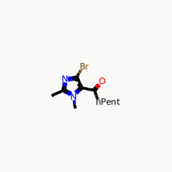 CCCCCC(=O)c1c(Br)nc(C)n1C